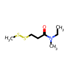 CCN(C)C(=O)CCSSC